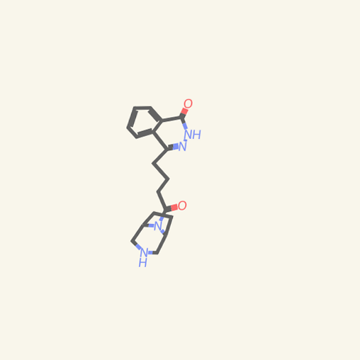 O=C(CCCc1n[nH]c(=O)c2ccccc12)N1C2CCC1CNC2